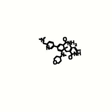 Cc1cc(C)c(CC2(C)C(N(C)C3CCOCC3)=CC(c3ccc(CN(C)C)nc3)=CC2C(N)=O)c(=O)[nH]1